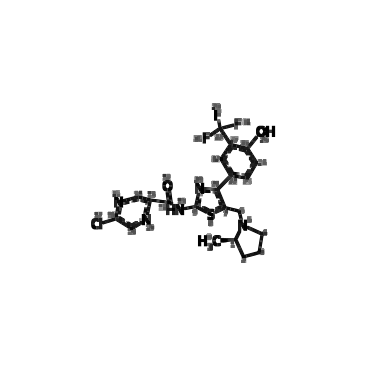 C[C@@H]1CCCN1Cc1sc(NC(=O)c2cnc(Cl)cn2)nc1-c1ccc(O)c(C(F)(F)F)c1